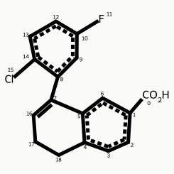 O=C(O)c1ccc2c(c1)C(c1cc(F)ccc1Cl)=CCC2